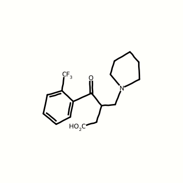 O=C(O)CC(CN1CCCCC1)C(=O)c1ccccc1C(F)(F)F